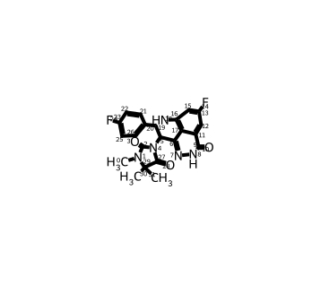 CN1C(=O)N(C2c3n[nH]c(=O)c4cc(F)cc(c34)NC2c2ccc(F)cc2)C(=O)C1(C)C